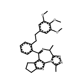 COc1cc(CCc2ccccc2C2=NC(C)c3nnc(C)n3-c3sc4c(c32)CCC4)cc(OC)c1OC